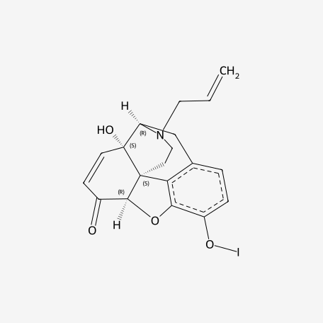 C=CCN1CC[C@]23c4c5ccc(OI)c4O[C@H]2C(=O)C=C[C@@]3(O)[C@H]1C5